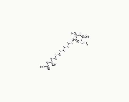 C[C@@H]1O[C@@H](OCCCCCCCCCC[C@@H](O)CC(=O)O)[C@H](O)C[C@H]1O